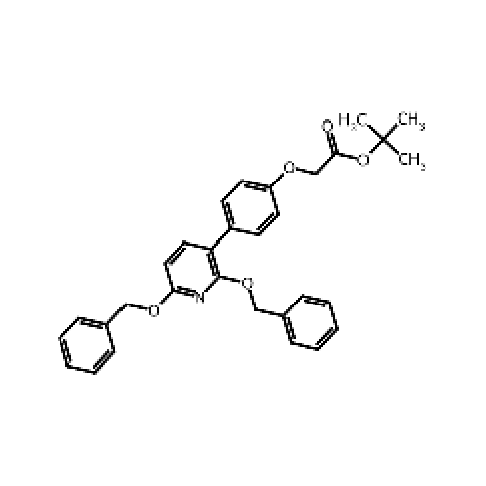 CC(C)(C)OC(=O)COc1ccc(-c2ccc(OCc3ccccc3)nc2OCc2ccccc2)cc1